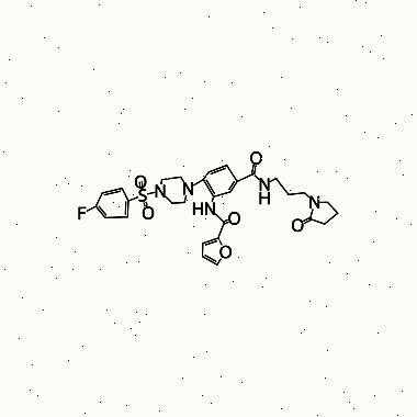 O=C(NCCCN1CCCC1=O)c1ccc(N2CCN(S(=O)(=O)c3ccc(F)cc3)CC2)c(NC(=O)c2ccco2)c1